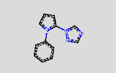 c1ccc(-n2cccc2-n2cncn2)cc1